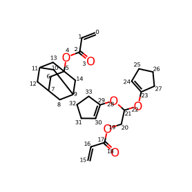 C=CC(=O)OC12CC3CC(CC(C3)C1)C2.C=CC(=O)OCC(OC1=CCCC1)OC1=CCCC1